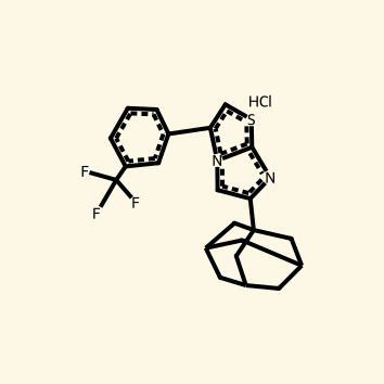 Cl.FC(F)(F)c1cccc(-c2csc3nc(C45CC6CC(CC(C6)C4)C5)cn23)c1